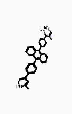 CCC/C=C(/C)C(=N)c1ccc(-c2c3ccccc3c(-c3ccc(C4=CCNC(C)=C4)cc3)c3ccccc23)cc1